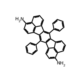 Nc1ccc2c3c(-c4ccccc4)c4c5ccc(N)c6cccc(c4c(-c4ccccc4)c3c3cccc1c32)c65